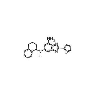 Nc1cc(NC2CCCc3ccccc32)cc2nc(-c3ccco3)nn12